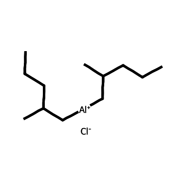 CCCC(C)[CH2][Al+][CH2]C(C)CCC.[Cl-]